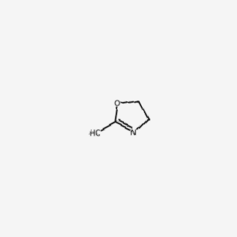 [CH]C1=NCCO1